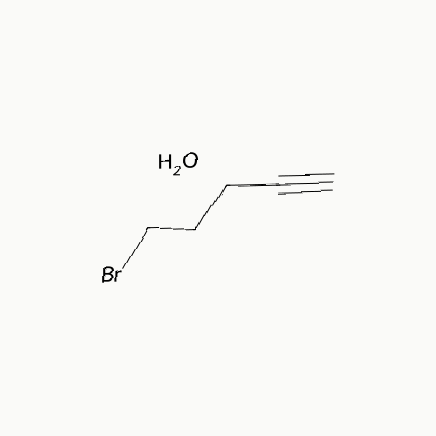 C#CCCCBr.O